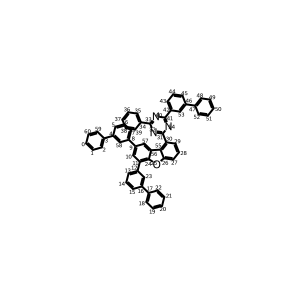 c1ccc(-c2cccc(-c3cc(-c4cccc(-c5ccccc5)c4)c4oc5cccc(-c6nc(-c7ccccc7)nc(-c7cccc(-c8ccccc8)c7)n6)c5c4c3)c2)cc1